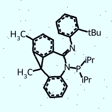 Cc1ccc2c3c1C3(C)c1ccccc1N(P(C(C)C)C(C)C)/C2=N/c1ccccc1C(C)(C)C